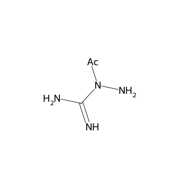 CC(=O)N(N)C(=N)N